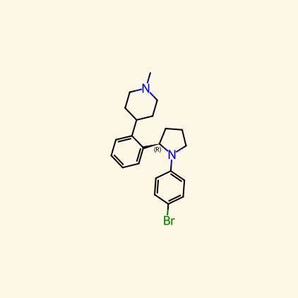 CN1CCC(c2ccccc2[C@H]2CCCN2c2ccc(Br)cc2)CC1